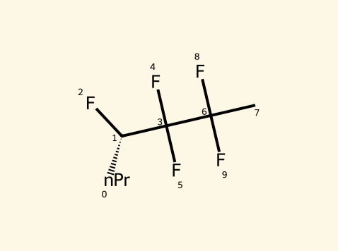 [CH2]CC[C@H](F)C(F)(F)C(C)(F)F